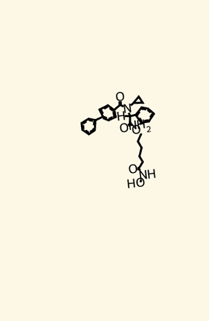 [2H]C(C(N)=O)(c1ccccc1OCCCCCC(=O)NO)N(C(=O)c1ccc(-c2ccccc2)cc1)C1CC1